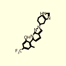 Cc1cc(C(F)(F)F)cc(O)c1-c1ccc2cn(C3CCc4[nH]cnc4C3)nc2n1